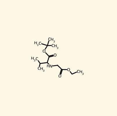 CCOC(=O)CNC(C(=O)OC(C)(C)C)C(C)C